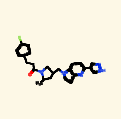 CC1CC(Cn2ccc3nc(-c4cn[nH]c4)ccc32)CN1C(=O)CCc1ccc(F)cc1